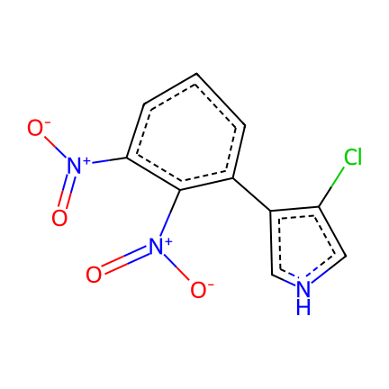 O=[N+]([O-])c1cccc(-c2c[nH]cc2Cl)c1[N+](=O)[O-]